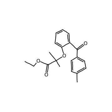 CCOC(=O)C(C)(C)Oc1ccccc1C(=O)c1ccc(C)cc1